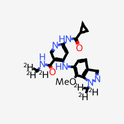 [2H]C([2H])([2H])NC(=O)c1cnc(NC(=O)C2CC2)cc1Nc1ccc2cnn(C([2H])([2H])[2H])c2c1OC